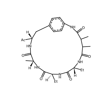 CC[C@@H]1NC(=O)[C@@H](CC)NC(=O)C(C)C(C)C(=O)Nc2ccc(cc2)C[C@@H](C(C)=O)NC(=O)[C@@H](C)NC1=O